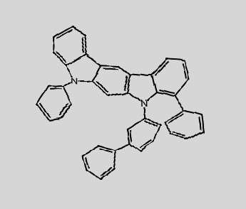 c1ccc(-c2cccc(-n3c4cc5c(cc4c4cccc(-c6ccccc6)c43)c3ccccc3n5-c3ccccc3)c2)cc1